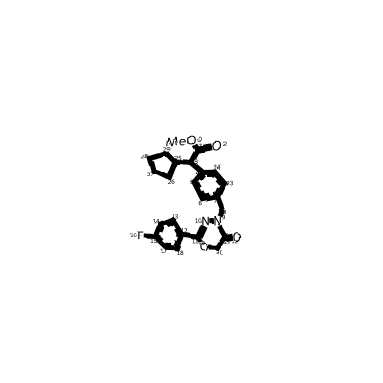 COC(=O)C(c1ccc(CN2N=C(c3ccc(F)cc3)OCC2=O)cc1)C1CCCC1